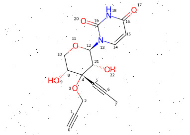 C#CCO[C@]1(C#CC)[C@H](O)CO[C@@H](n2ccc(=O)[nH]c2=O)[C@@H]1O